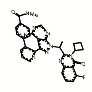 CNC(=O)c1ccc(-c2cccnc2-c2nn(C(C)c3nc4cccc(F)c4c(=O)n3C3CCC3)c3ncnc(N)c23)cc1